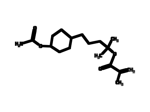 C=C(C)C(=O)OC(C)(C)CCCC1CCC(OC(N)=O)CC1